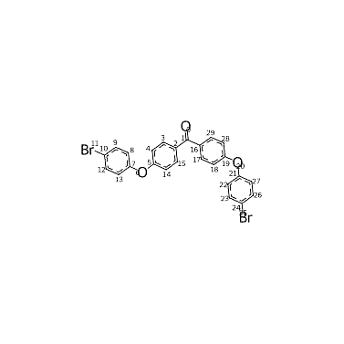 O=C(c1ccc(Oc2ccc(Br)cc2)cc1)c1ccc(Oc2ccc(Br)cc2)cc1